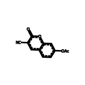 [CH2]C(=O)Oc1ccc2cc(C#N)c(=O)oc2c1